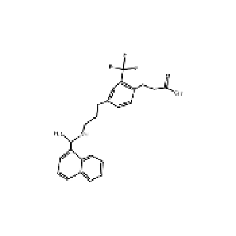 CC(NCCCc1ccc(CCC(=O)O)c(C(F)(F)F)c1)c1cccc2ccccc12